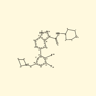 O=C(NC1CCOCC1)c1n[nH]c2ccc(-c3cc(CN4CCC4)cc(F)c3F)cc12